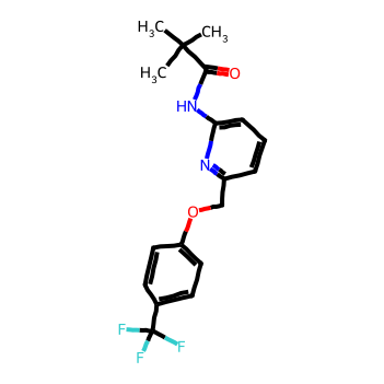 CC(C)(C)C(=O)Nc1cccc(COc2ccc(C(F)(F)F)cc2)n1